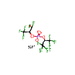 O=P([O-])(OC(C(F)(F)F)C(F)(F)F)OC(C(F)(F)F)C(F)(F)F.[Na+]